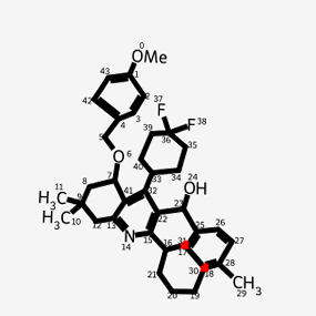 COc1ccc(COC2CC(C)(C)Cc3nc(C4CCCCC4)c(C(O)c4ccc(C)cc4)c(C4CCC(F)(F)CC4)c32)cc1